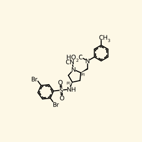 Cc1cccc(N(C[C@H]2C[C@@H](NS(=O)(=O)c3cc(Br)ccc3Br)CN2C#N)C(=O)O)c1